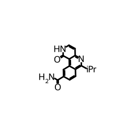 CC(C)c1nc2cc[nH]c(=O)c2c2cc(C(N)=O)ccc12